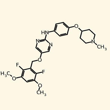 COc1cc(OC)c(F)c(COc2cnc(Nc3ccc(OC4CCN(C)CC4)cc3)nc2)c1F